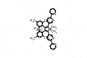 Cc1cc(C)c(C2=C(c3ccc(-c4ccccn4)nc3)[Si](C)(C)C(c3ccc(-c4ccccn4)nc3)=C2c2c(C)cc(C)cc2C)c(C)c1